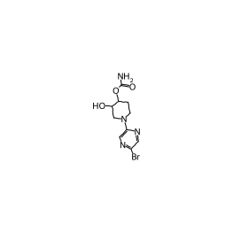 NC(=O)OC1CCN(c2cnc(Br)cn2)CC1O